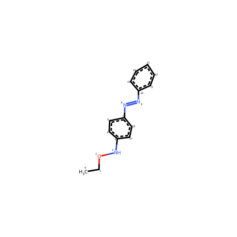 CCONc1ccc(N=Nc2ccccc2)cc1